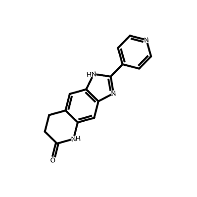 O=C1CCc2cc3[nH]c(-c4ccncc4)nc3cc2N1